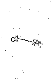 CC(C)(C)SCCCCCCSc1nc2ccccc2s1